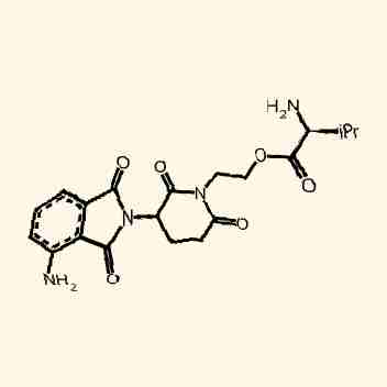 CC(C)[C@H](N)C(=O)OCCN1C(=O)CCC(N2C(=O)c3cccc(N)c3C2=O)C1=O